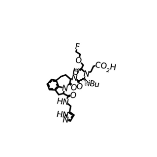 CC[C@H](C)[C@@H](C(=O)NC1CCc2cccc3c2N(C1=O)C(C(=O)NCc1ccn[nH]1)C3)N(CCC(=O)O)C(=O)COCCF